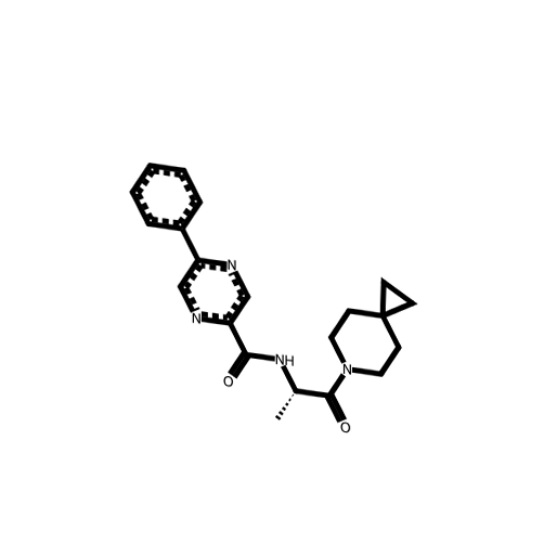 C[C@H](NC(=O)c1cnc(-c2ccccc2)cn1)C(=O)N1CCC2(CC1)CC2